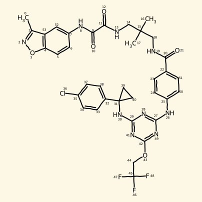 Cc1noc2ccc(NC(=O)C(=O)NCC(C)(C)CNC(=O)c3ccc(Nc4nc(NC5(c6ccc(Cl)cc6)CC5)nc(OCC(F)(F)F)n4)cc3)cc12